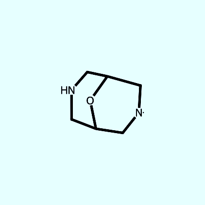 C1[N]CC2CNCC1O2